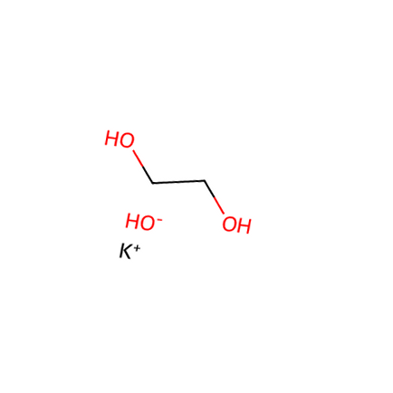 OCCO.[K+].[OH-]